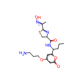 CCCC(NC(=O)C1CSC(/C(C)=N/O)=N1)c1cc(OCCCN)cc(=O)o1